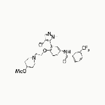 COC1CCN(CCOc2ccc(NC(=O)c3cccc(C(F)(F)F)c3)cc2-c2c(Cl)cnn2C)CC1